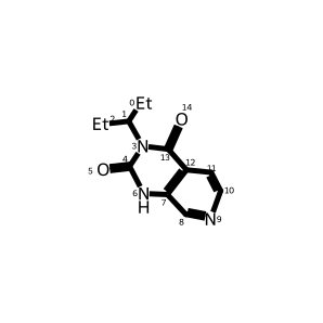 CCC(CC)n1c(=O)[nH]c2cnccc2c1=O